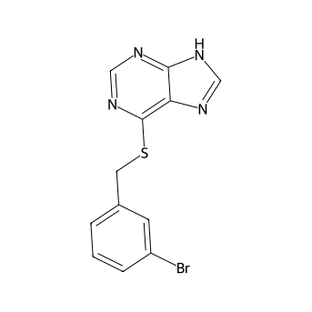 Brc1cccc(CSc2ncnc3[nH]cnc23)c1